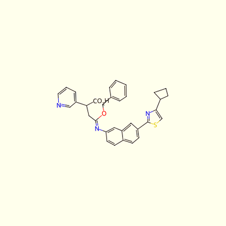 O=C(O)C(CC(=Nc1ccc2ccc(-c3nc(C4CCC4)cs3)cc2c1)OCc1ccccc1)c1cccnc1